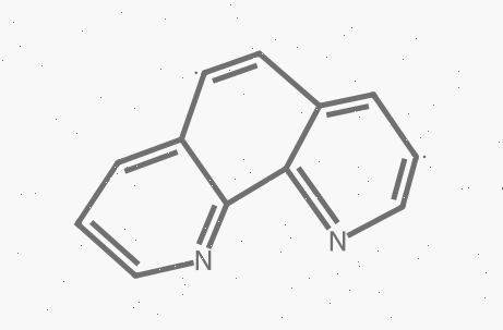 [c]1cnc2c(c1)c[c]c1cccnc12